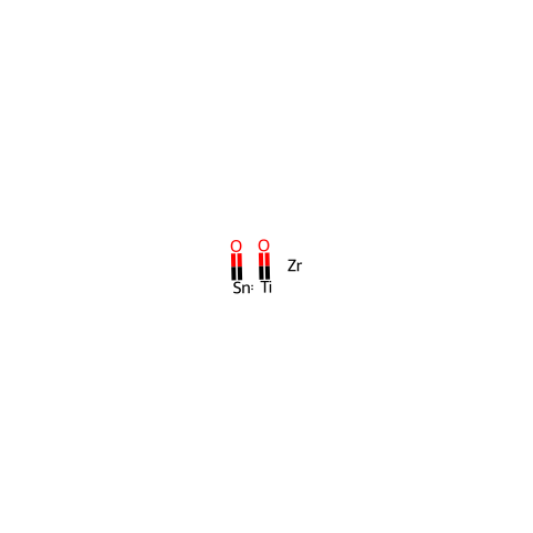 [O]=[Sn].[O]=[Ti].[Zr]